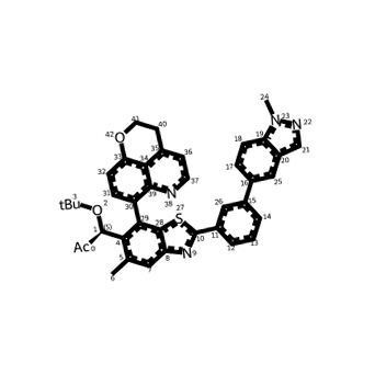 CC(=O)[C@@H](OC(C)(C)C)c1c(C)cc2nc(-c3cccc(-c4ccc5c(cnn5C)c4)c3)sc2c1-c1ccc2c3c(ccnc13)CCO2